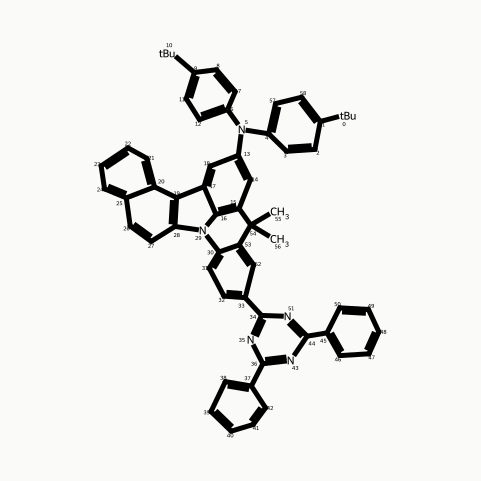 CC(C)(C)c1ccc(N(c2ccc(C(C)(C)C)cc2)c2cc3c4c(c2)c2c5ccccc5ccc2n4-c2ccc(-c4nc(-c5ccccc5)nc(-c5ccccc5)n4)cc2C3(C)C)cc1